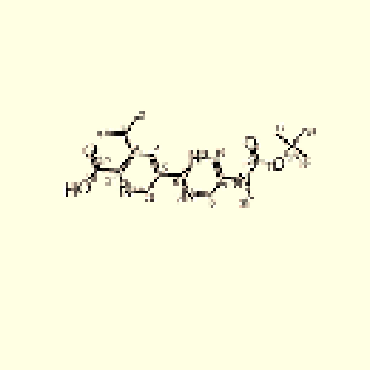 C=C(C)c1cc(-c2ncc(N(C)C(=O)OC(C)(C)C)cn2)cnc1C(=O)O